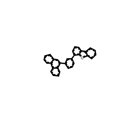 c1cc(-c2cc3ccccc3c3ccccc23)cc(-c2cccc3c2oc2ccccc23)c1